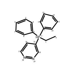 CC[PH](c1ccccc1)(c1ccccc1)c1ccnnc1